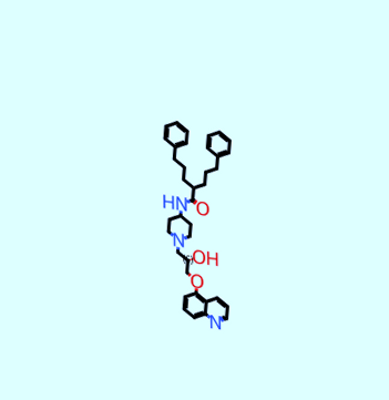 O=C(NC1CCN(C[C@H](O)COc2cccc3ncccc23)CC1)C(CCCc1ccccc1)CCCc1ccccc1